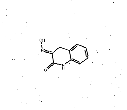 O=C1Nc2ccccc2CC1=NO